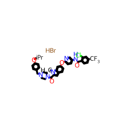 Br.CC(C)Oc1ccc(CN2CCN(C(=O)c3cc4ccc(Oc5ccc(NC(=O)c6ccc(C(F)(F)F)cc6Cl)cn5)cc4n3C)CC2)cc1